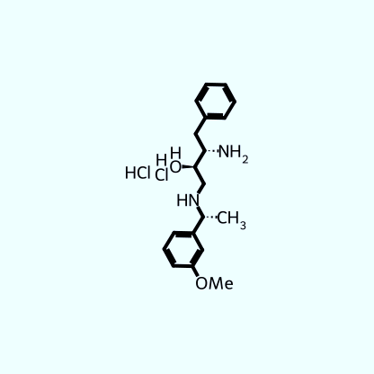 COc1cccc([C@@H](C)NC[C@@H](O)[C@@H](N)Cc2ccccc2)c1.Cl.Cl